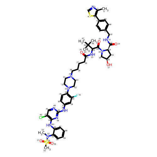 Cc1ncsc1-c1ccc(CNC(=O)[C@H]2C[C@@H](O)CN2C(=O)C(NC(=O)CCCCN2CCN(c3ccc(Nc4ncc(Cl)c(Nc5ccccc5N(C)S(C)(=O)=O)n4)cc3F)CC2)C(C)(C)C)cc1